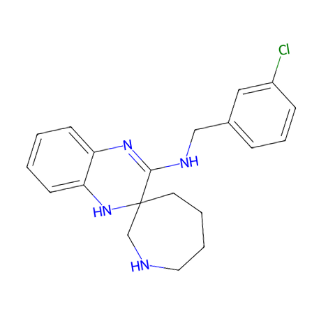 Clc1cccc(CNC2=Nc3ccccc3NC23CCCCNC3)c1